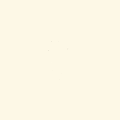 CCc1cc(C)ccc1-c1sccc1Br